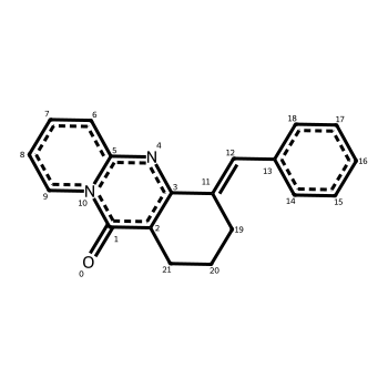 O=c1c2c(nc3ccccn13)C(=Cc1ccccc1)CCC2